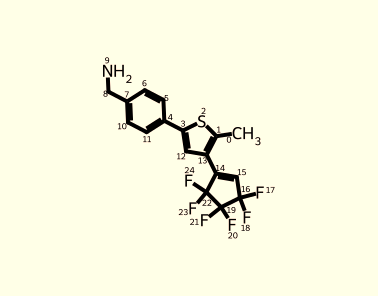 Cc1sc(-c2ccc(CN)cc2)cc1C1=CC(F)(F)C(F)(F)C1(F)F